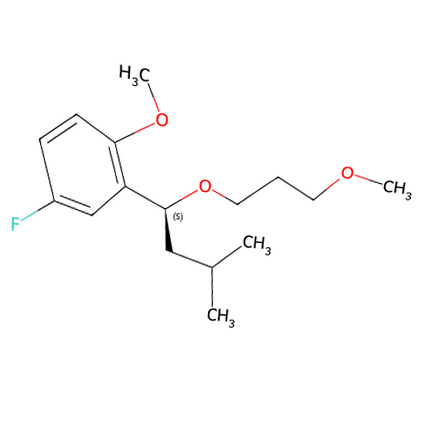 COCCCO[C@@H](CC(C)C)c1cc(F)ccc1OC